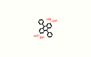 OB(O)c1ccc2c(-c3ccccc3)c3cc(B(O)O)ccc3c(-c3ccccc3)c2c1